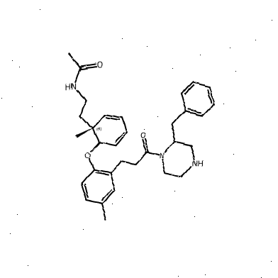 CC(=O)NCC[C@]1(C)C=CC=CC1Oc1ccc(C)cc1CCC(=O)N1CCNCC1Cc1ccccc1